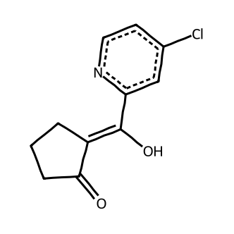 O=C1CCC/C1=C(/O)c1cc(Cl)ccn1